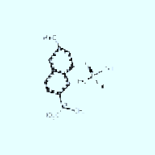 COc1ccc2cc([C@H](C)C(=O)O)ccc2c1.O=P(O)(O)O